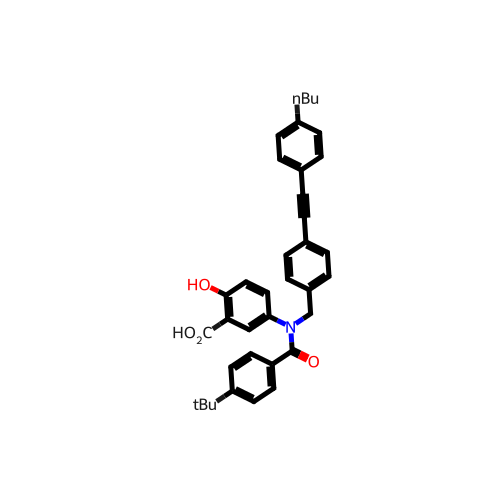 CCCCc1ccc(C#Cc2ccc(CN(C(=O)c3ccc(C(C)(C)C)cc3)c3ccc(O)c(C(=O)O)c3)cc2)cc1